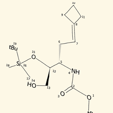 CC(C)(C)OC(=O)N[C@@H](CC=C1CCC1)[C@@H](CO)O[Si](C)(C)C(C)(C)C